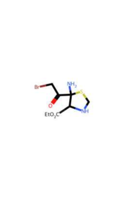 CCOC(=O)C1NCSC1(N)C(=O)CBr